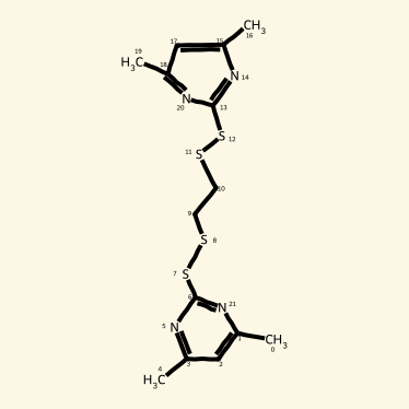 Cc1cc(C)nc(SSCCSSc2nc(C)cc(C)n2)n1